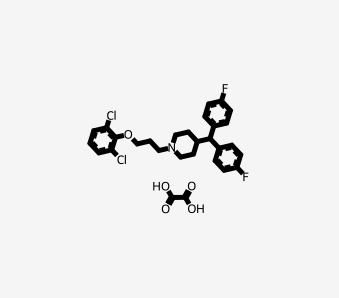 Fc1ccc(C(c2ccc(F)cc2)C2CCN(CCCOc3c(Cl)cccc3Cl)CC2)cc1.O=C(O)C(=O)O